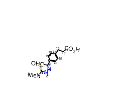 CNC(=S)N(C)N=C(C=O)c1ccc(CCC(=O)O)cc1